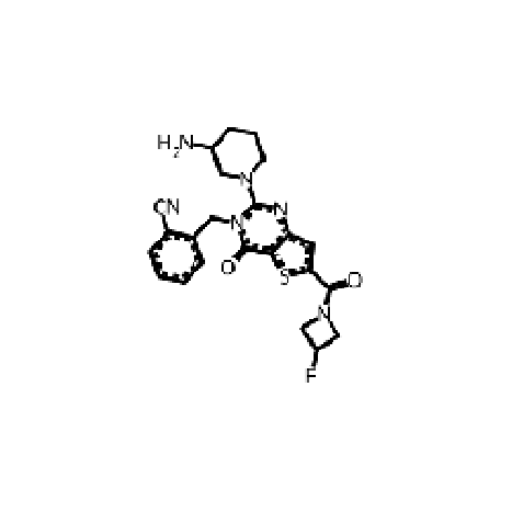 N#Cc1ccccc1Cn1c(N2CCCC(N)C2)nc2cc(C(=O)N3CC(F)C3)sc2c1=O